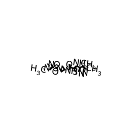 Cc1nnc2sc(C(=O)NC3CN(S(=O)(=O)c4cn(C)cn4)C3)c(N)c2c1C